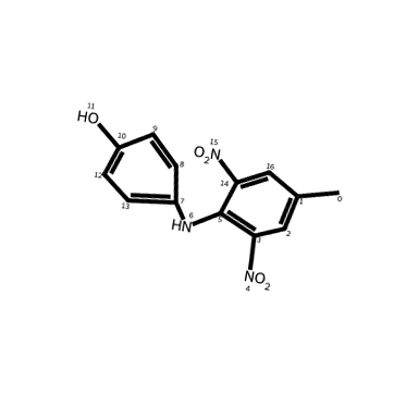 Cc1cc([N+](=O)[O-])c(Nc2ccc(O)cc2)c([N+](=O)[O-])c1